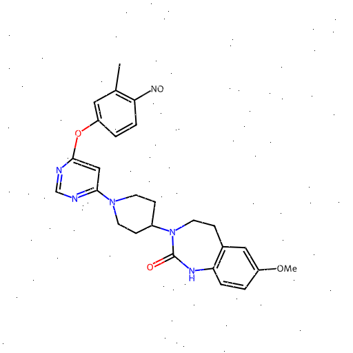 COc1ccc2c(c1)CCN(C1CCN(c3cc(Oc4ccc(N=O)c(C)c4)ncn3)CC1)C(=O)N2